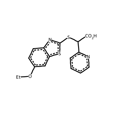 CCOc1ccc2nc(SC(C(=O)O)c3ccccn3)sc2c1